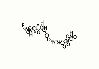 COc1cc(N2CCN(CCOc3ccc(-c4cnc5[nH]cc(C(=O)c6c(F)ccc(NS(=O)(=O)N7CC[C@@H](F)C7)c6F)c5c4)cc3)CC2)cc2c1C(=O)N(C1CCC(=O)NC1=O)C2